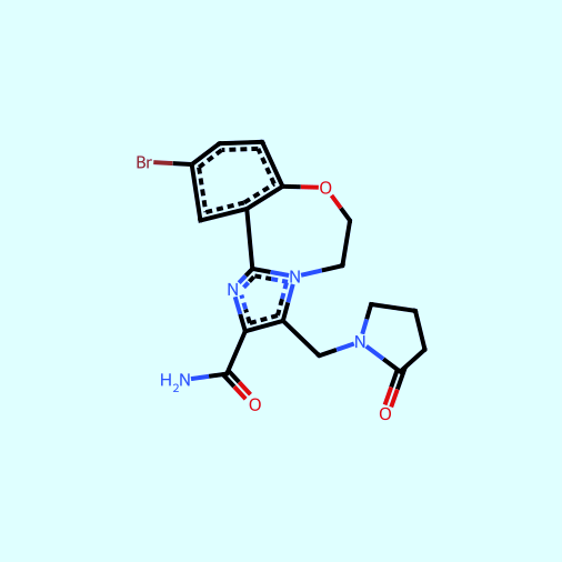 NC(=O)c1nc2n(c1CN1CCCC1=O)CCOc1ccc(Br)cc1-2